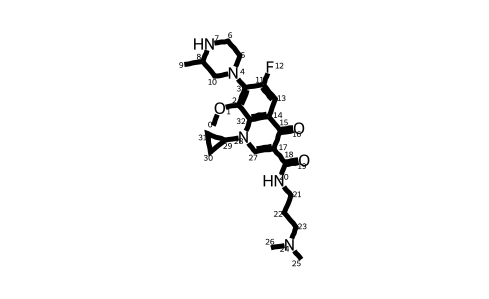 COc1c(N2CCNC(C)C2)c(F)cc2c(=O)c(C(=O)NCCCN(C)C)cn(C3CC3)c12